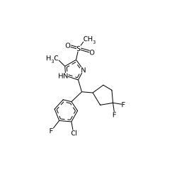 Cc1[nH]c(C(c2ccc(F)c(Cl)c2)C2CCC(F)(F)C2)nc1S(C)(=O)=O